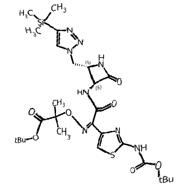 CC(C)(C)OC(=O)Nc1nc(C(=NOC(C)(C)C(=O)OC(C)(C)C)C(=O)N[C@@H]2C(=O)N[C@H]2Cn2cc([Si](C)(C)C)nn2)cs1